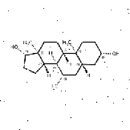 C[C@H]1C[C@H]2C[C@@H](O)CC[C@]2(C)[C@H]2CC[C@]3(C)[C@@H](O)CC[C@H]3[C@H]12